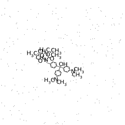 CN(C)c1ccc(C(O)(c2ccc(CN(C(=O)OC(C)(C)C)C(=O)OC(C)(C)C)cc2)c2ccc(N(C)C)cc2)cc1